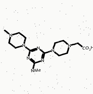 CNc1nc(N2CCN(C)CC2)nc(N2CCN(CC(=O)O)CC2)n1